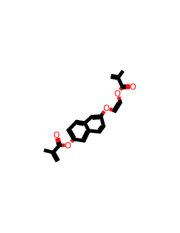 C=C(C)C(=O)O/C=C\Oc1ccc2cc(OC(=O)C(=C)C)ccc2c1